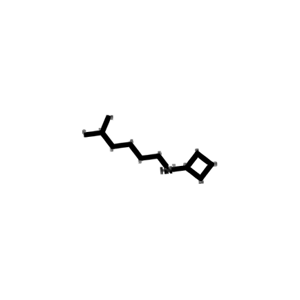 CC(C)CCCCNC1CCC1